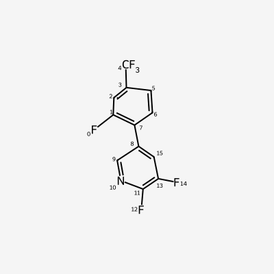 Fc1[c]c(C(F)(F)F)ccc1-c1cnc(F)c(F)c1